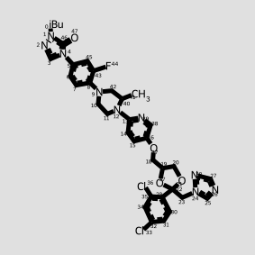 CCC(C)n1ncn(-c2ccc(N3CCN(c4ccc(OCC5COC(Cn6cncn6)(c6ccc(Cl)cc6Cl)O5)cn4)C(C)C3)c(F)c2)c1=O